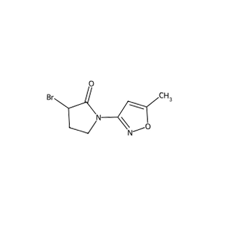 Cc1cc(N2CCC(Br)C2=O)no1